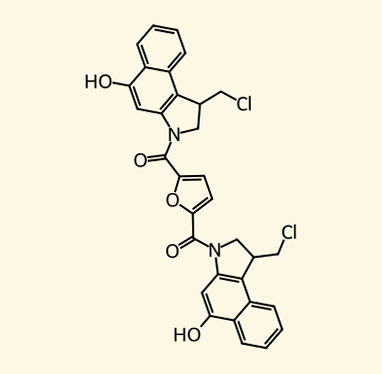 O=C(c1ccc(C(=O)N2CC(CCl)c3c2cc(O)c2ccccc32)o1)N1CC(CCl)c2c1cc(O)c1ccccc21